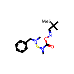 CSC(C)(C)C=NOC(=O)N(C)SN(C)Cc1ccccc1